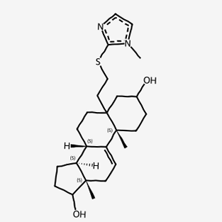 Cn1ccnc1SCCC12CC[C@@H]3C(=CC[C@]4(C)C(O)CC[C@@H]34)[C@@]1(C)CCC(O)C2